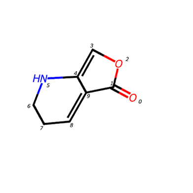 O=C1OC=C2NCCC=C12